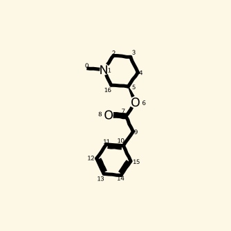 CN1CCC[C@@H](OC(=O)Cc2ccccc2)C1